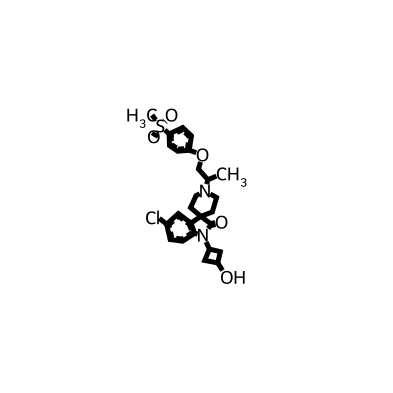 CC(COc1ccc(S(C)(=O)=O)cc1)N1CCC2(CC1)C(=O)N(C1CC(O)C1)c1ccc(Cl)cc12